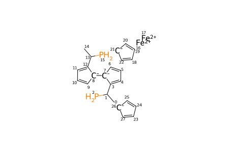 CC(P)c1ccc[c-]1-[c-]1cccc1C(C)P.[Fe+2].[Fe+2].c1cc[cH-]c1.c1cc[cH-]c1